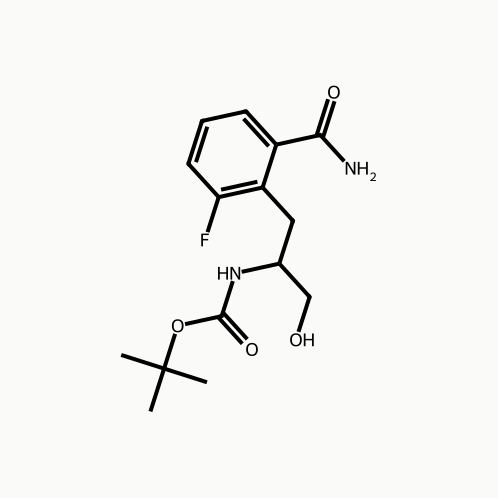 CC(C)(C)OC(=O)NC(CO)Cc1c(F)cccc1C(N)=O